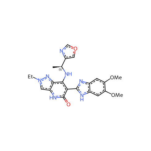 CCn1cc2[nH]c(=O)c(-c3nc4cc(OC)c(OC)cc4[nH]3)c(N[C@@H](C)c3cocn3)c2n1